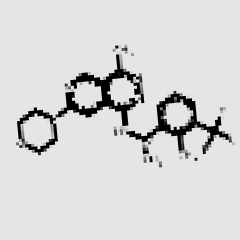 Cc1c([C@@H](C)Nc2nnc(C)c3cnc(N4CCOCC4)cc23)cccc1C(C)(F)F